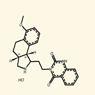 COc1cccc2c1CC[C@H]1CNC(CCn3c(=O)[nH]c4ccccc4c3=O)[C@@H]21.Cl